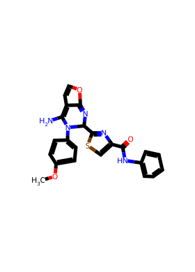 COc1ccc(N2C(N)=c3ccoc3=NC2c2nc(C(=O)Nc3ccccc3)cs2)cc1